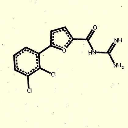 N=C(N)NC(=O)c1ccc(-c2cccc(Cl)c2Cl)o1